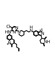 C=CCCC1=Cc2cc(Nc3nc(N4CCCC(CCNc5ccc6c(C7CCC(=C)NC7=C)nn(C)c6c5)C4)ncc3Cl)ccc2N(C)C1=C